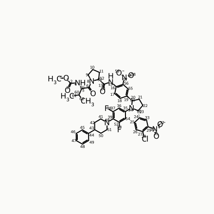 COC(=O)N[C@H](C(=O)N1CCC[C@H]1C(=O)Nc1ccc([C@H]2CC[C@H](c3ccc(Cl)c([N+](=O)[O-])c3)N2c2cc(F)c(N3CCC(c4ccccc4)CC3)c(F)c2)cc1[N+](=O)[O-])C(C)C